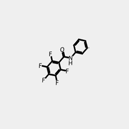 O=C(Nc1c[c]ccc1)c1c(F)c(F)c(F)c(F)c1F